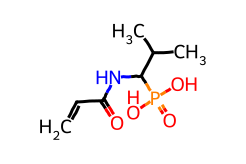 C=CC(=O)NC(C(C)C)P(=O)(O)O